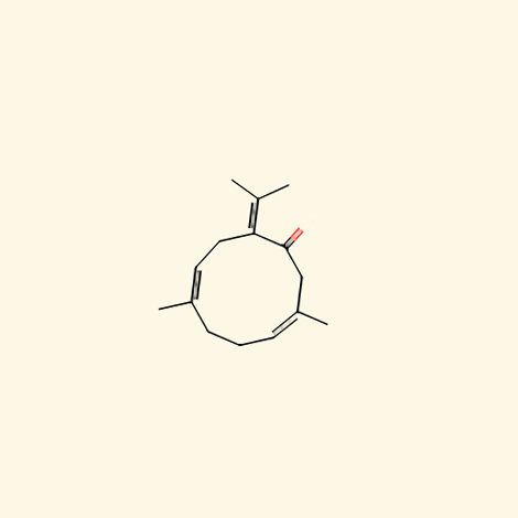 CC1=CCC(=C(C)C)C(=O)CC(C)=CCC1